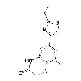 CCc1nc(-c2cc(C)c3c(c2)NC(=O)CO3)cs1